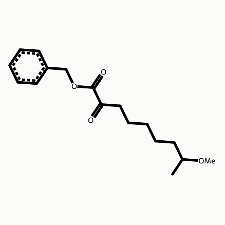 COC(C)CCCCCC(=O)C(=O)OCc1ccccc1